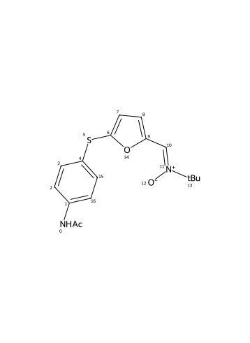 CC(=O)Nc1ccc(Sc2ccc(C=[N+]([O-])C(C)(C)C)o2)cc1